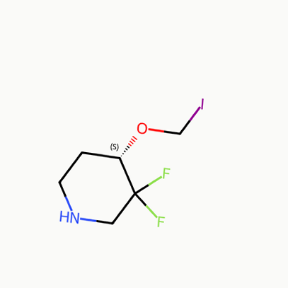 FC1(F)CNCC[C@@H]1OCI